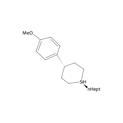 CCCCCCC[Si@H]1CC[C@H](c2ccc(OC)cc2)CC1